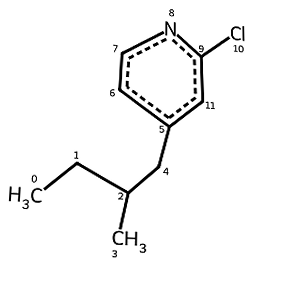 CCC(C)Cc1ccnc(Cl)c1